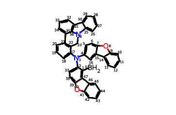 Bc1c(N(c2ccc3oc4ccccc4c3c2)c2cccc3c2Cn2c4ccccc4c4cccc-3c42)ccc2oc3ccccc3c12